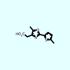 Cc1ccc(-c2nc(CC(=O)O)c(C)o2)s1